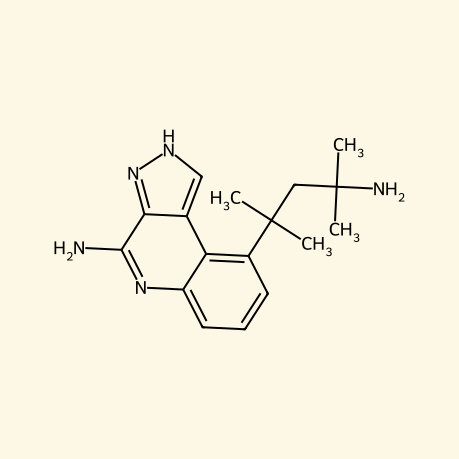 CC(C)(N)CC(C)(C)c1cccc2nc(N)c3n[nH]cc3c12